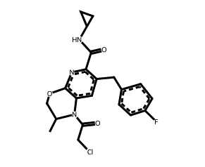 CC1COc2nc(C(=O)NC3CC3)c(Cc3ccc(F)cc3)cc2N1C(=O)CCl